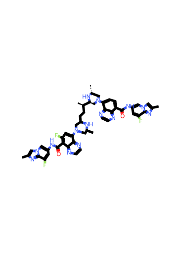 Cc1cn2cc(NC(=O)c3ccc(N4C[C@@H](C)N[C@H]([C@H](C)CCC5CN(c6cc(F)c(C(=O)Nc7cc(F)c8nc(C)cn8c7)c7nccnc67)CC(C)N5)C4)c4nccnc34)cc(F)c2n1